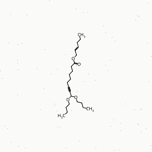 CCC/C=C/COC(=O)CCCCCC#CC(OCCCC)OCCCC